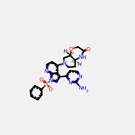 Nc1nccc(-c2cn(S(=O)(=O)c3ccccc3)c3nccc(N4CC[C@@H]5NC(=O)CO[C@H]5C4)c23)n1